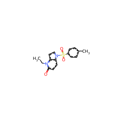 CCn1c(=O)ccc2c1ccn2S(=O)(=O)c1ccc(C)cc1